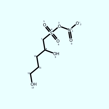 O=[N+]([O-])OS(=O)(=O)CC(O)CCCO